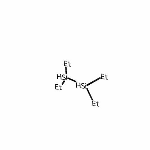 CC[SiH](CC)[SiH](CC)CC